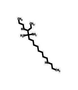 CCCNCCCCCCCCC(N)(N)C(CC)NCCC